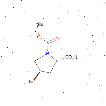 CC(C)(C)OC(=O)N1C[C@H](Br)C[C@H]1C(=O)O